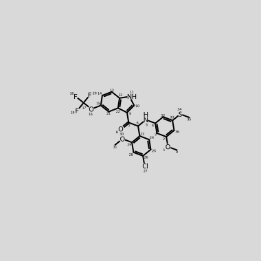 COc1cc(NC(C(=O)c2c[nH]c3ccc(OC(F)(F)F)cc23)c2ccc(Cl)cc2OC)cc(SC)c1